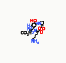 NCCCC[C@H](N)C(=O)OC(=O)[C@@H]1CCCN1.N[C@@H](Cc1ccc(O)cc1)C(=O)O